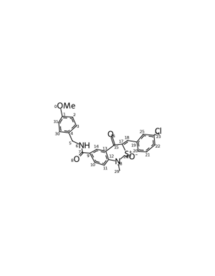 COc1ccc(CNC(=O)c2ccc3c(c2)C(=O)/C(=C/c2cccc(Cl)c2)[S+]([O-])N3C)cc1